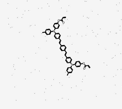 C=CC(=O)Oc1ccc(N(c2ccc(C)cc2)c2ccc(C=Cc3ccc(C=Cc4ccc(N(c5ccc(C)cc5)c5ccc(OC(=O)C=C)cc5)cc4)cc3)cc2)cc1